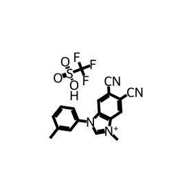 Cc1cccc(-n2c[n+](C)c3cc(C#N)c(C#N)cc32)c1.O=S(=O)(O)C(F)(F)F